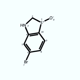 [O-][S+]1CNc2cc(Br)ccc21